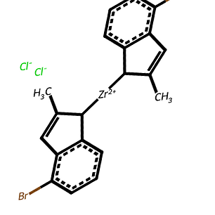 CC1=Cc2c(Br)cccc2[CH]1[Zr+2][CH]1C(C)=Cc2c(Br)cccc21.[Cl-].[Cl-]